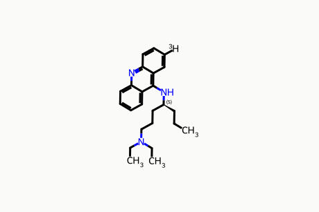 [3H]c1ccc2nc3ccccc3c(N[C@@H](CCC)CCCN(CC)CC)c2c1